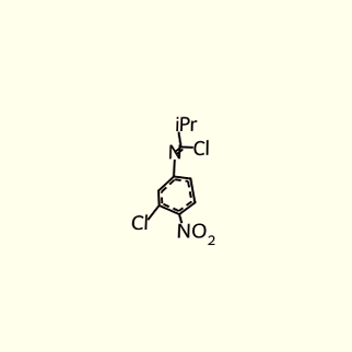 CC(C)C(Cl)=Nc1ccc([N+](=O)[O-])c(Cl)c1